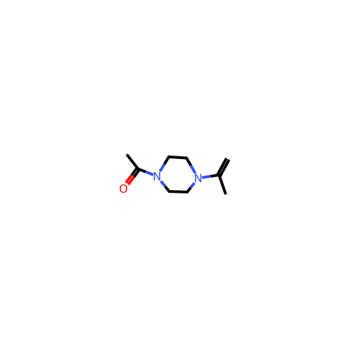 C=C(C)N1CCN(C(C)=O)CC1